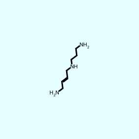 NCC=CCNCCCN